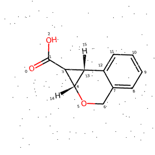 O=C(O)C1[C@H]2OCc3ccccc3[C@@H]12